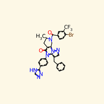 C[C@@H]1Cc2c(n3ncc(Cc4ccccc4)c3n(-c3ccc(-c4nnc[nH]4)cc3)c2=O)CN1C(=O)c1ccc(Br)c(C(F)(F)F)c1